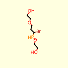 OCCOCCC(Br)POCCO